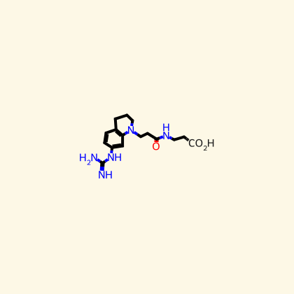 N=C(N)Nc1ccc2c(c1)N(CCC(=O)NCCC(=O)O)CCC2